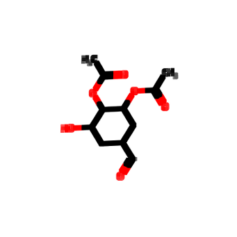 CC(=O)OC1CC([C]=O)CC(O)C1OC(C)=O